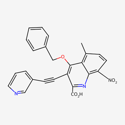 Cc1ccc([N+](=O)[O-])c2nc(C(=O)O)c(C#Cc3cccnc3)c(OCc3ccccc3)c12